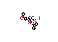 O=C(NC(Cc1ccc(C(=O)c2ccccc2)cc1)C(=O)O)OCC1c2ccccc2-c2ccccc21